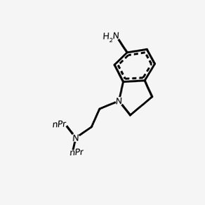 CCCN(CCC)CCN1CCc2ccc(N)cc21